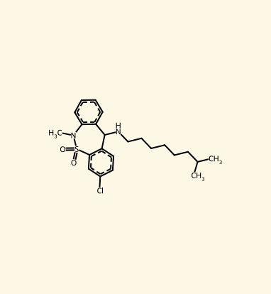 CC(C)CCCCCCNC1c2ccccc2N(C)S(=O)(=O)c2cc(Cl)ccc21